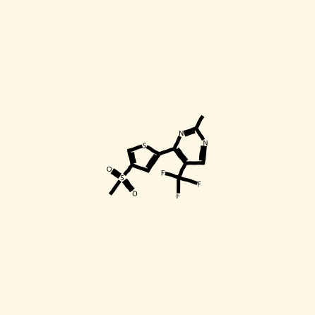 Cc1ncc(C(F)(F)F)c(-c2cc(S(C)(=O)=O)cs2)n1